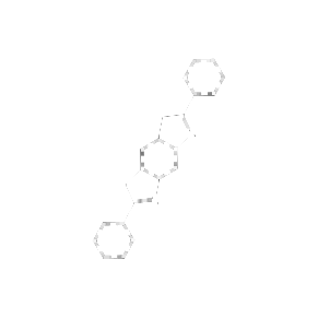 c1ccc(C2=Nc3cc4c(cc3C2)CC(c2ccccc2)=N4)cc1